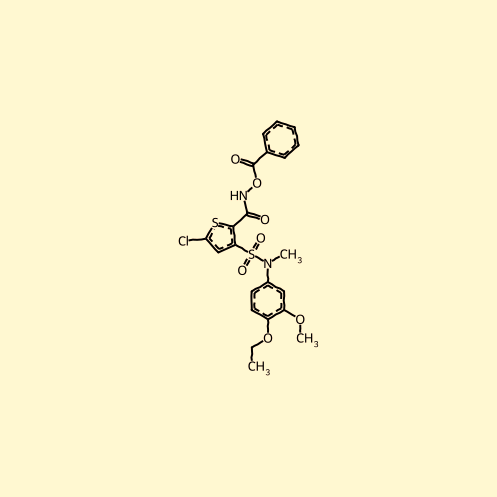 CCOc1ccc(N(C)S(=O)(=O)c2cc(Cl)sc2C(=O)NOC(=O)c2ccccc2)cc1OC